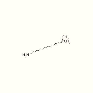 CC/C(C)=C\CCCCCCCCCCCCCCCCCN